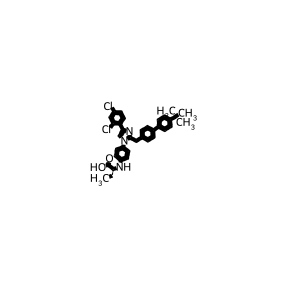 CC[C@@H](Nc1ccc(-n2cc(-c3ccc(Cl)cc3Cl)nc2Cc2ccc(-c3ccc(C(C)(C)C)cc3)cc2)cc1)C(=O)O